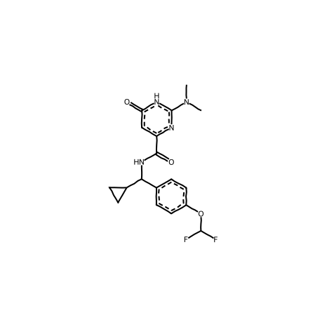 CN(C)c1nc(C(=O)NC(c2ccc(OC(F)F)cc2)C2CC2)cc(=O)[nH]1